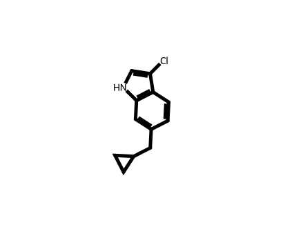 Clc1c[nH]c2cc(C[C]3CC3)ccc12